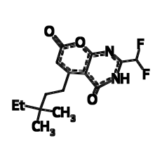 CCC(C)(C)CCc1cc(=O)oc2nc(C(F)F)[nH]c(=O)c12